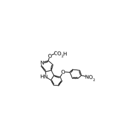 O=C(O)Oc1cc2c(cn1)[nH]c1cccc(Oc3ccc([N+](=O)[O-])cc3)c12